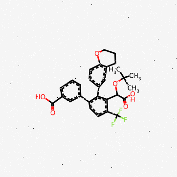 CC(C)(C)OC(C(=O)O)c1c(C(F)(F)F)ccc(-c2cccc(C(=O)O)c2)c1-c1ccc2c(c1)CCCO2